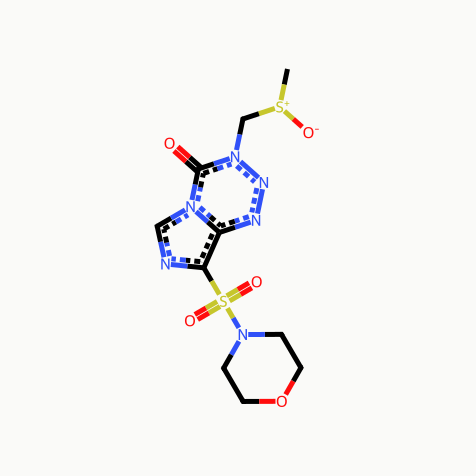 C[S+]([O-])Cn1nnc2c(S(=O)(=O)N3CCOCC3)ncn2c1=O